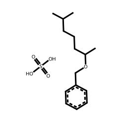 CC(C)CCCC(C)OCc1ccccc1.O=S(=O)(O)O